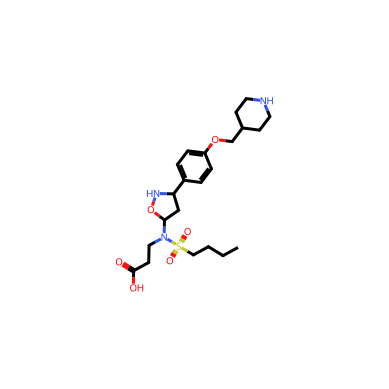 CCCCS(=O)(=O)N(CCC(=O)O)C1CC(c2ccc(OCC3CCNCC3)cc2)NO1